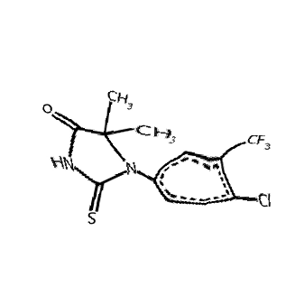 CC1(C)C(=O)NC(=S)N1c1ccc(Cl)c(C(F)(F)F)c1